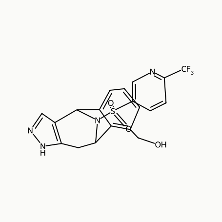 O=S(=O)(c1ccc(C(F)(F)F)nc1)N1C2Cc3[nH]ncc3C1c1cccc(CO)c12